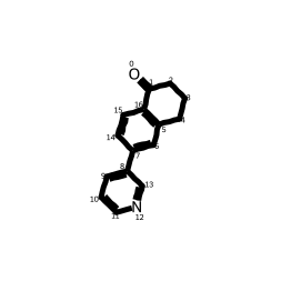 O=C1CCCc2cc(-c3cccnc3)ccc21